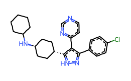 Clc1ccc(-c2n[nH]c([C@H]3CC[C@H](NC4CCCCC4)CC3)c2-c2ccncn2)cc1